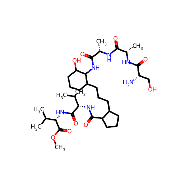 COC(=O)[C@@H](NC(=O)[C@@H](NC(=O)C1CCCC1CCCC1CCCC(O)C1NC(=O)[C@H](C)NC(=O)[C@H](C)NC(=O)[C@@H](N)CO)C(C)C)C(C)C